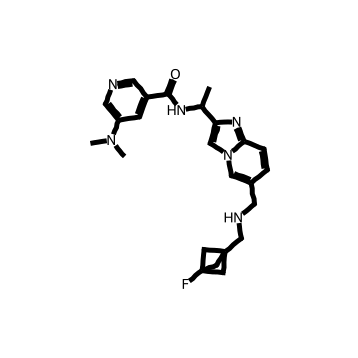 CC(NC(=O)c1cncc(N(C)C)c1)c1cn2cc(CNCC34CC(F)(C3)C4)ccc2n1